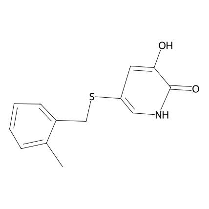 Cc1ccccc1CSc1c[nH]c(=O)c(O)c1